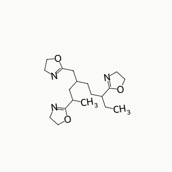 CCC(CCC(CC1=NCCO1)CC(C)C1=NCCO1)C1=NCCO1